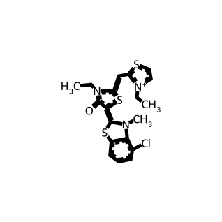 CCn1c(=O)/c(=C2\Sc3cccc(Cl)c3N2C)s/c1=C\c1scc[n+]1CC